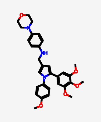 COc1ccc(-n2cc(CNc3ccc(N4CCOCC4)cc3)cc2-c2cc(OC)c(OC)c(OC)c2)cc1